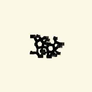 CC(=O)C(O)[C@H]1OC(O)[C@@](O)(C(C)=O)[C@](O)(C(C)=O)[C@@]1(O)[C@H]1O[C@H](C(O)C(C)=O)[C@](O)(C(C)=O)[C@@](O)(C(C)=O)[C@]1(O)C(C)=O